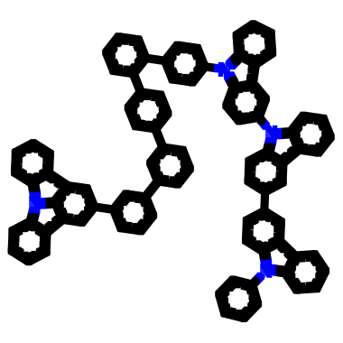 c1ccc(-n2c3ccccc3c3cc(-c4ccc5c(c4)c4ccccc4n5-c4ccc5c(c4)c4ccccc4n5-c4ccc(-c5ccccc5-c5ccc(-c6cccc(-c7cccc(-c8cc9c%10ccccc%10n%10c%11ccccc%11c(c8)c9%10)c7)c6)cc5)cc4)ccc32)cc1